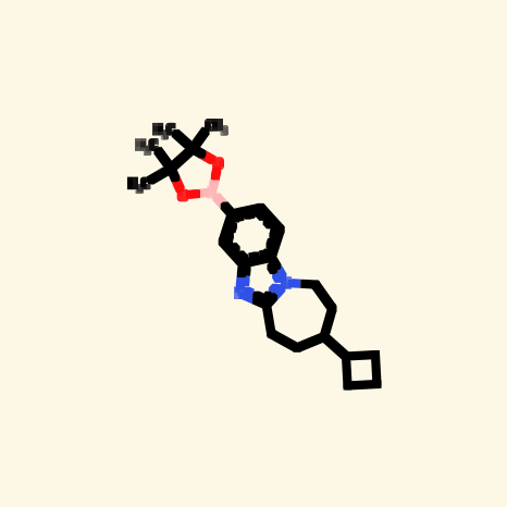 CC1(C)OB(c2ccc3c(c2)nc2n3CCC(C3CCC3)CC2)OC1(C)C